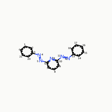 c1ccc(N=Nc2cccc(N=Nc3ccccc3)n2)cc1